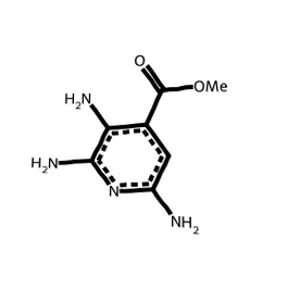 COC(=O)c1cc(N)nc(N)c1N